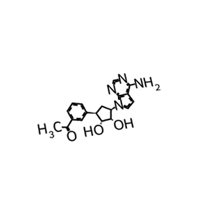 CC(=O)c1cccc([C@H]2C[C@@H](n3ccc4c(N)ncnc43)[C@H](O)[C@@H]2O)c1